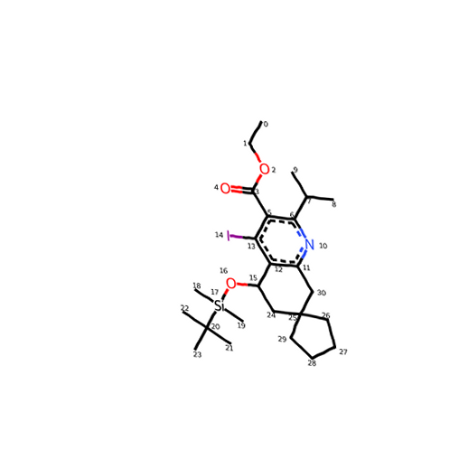 CCOC(=O)c1c(C(C)C)nc2c(c1I)C(O[Si](C)(C)C(C)(C)C)CC1(CCCC1)C2